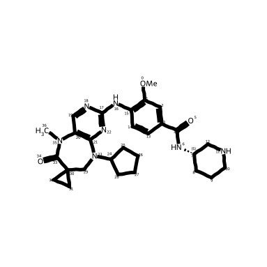 COc1cc(C(=O)N[C@H]2CCCNC2)ccc1Nc1ncc2c(n1)N(C1CCCC1)CC1(CC1)C(=O)N2C